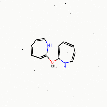 B.C1=CC=C(OC2=CC=CC=CN2)NC=C1